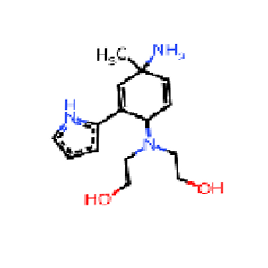 CC1(N)C=CC(N(CCO)CCO)C(c2ccc[nH]2)=C1